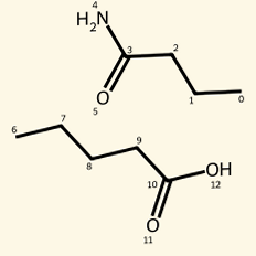 CCCC(N)=O.CCCCC(=O)O